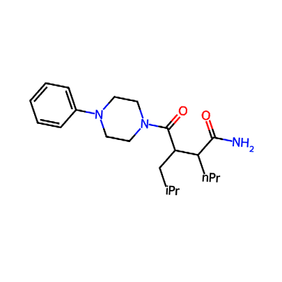 CCCC(C(N)=O)C(CC(C)C)C(=O)N1CCN(c2ccccc2)CC1